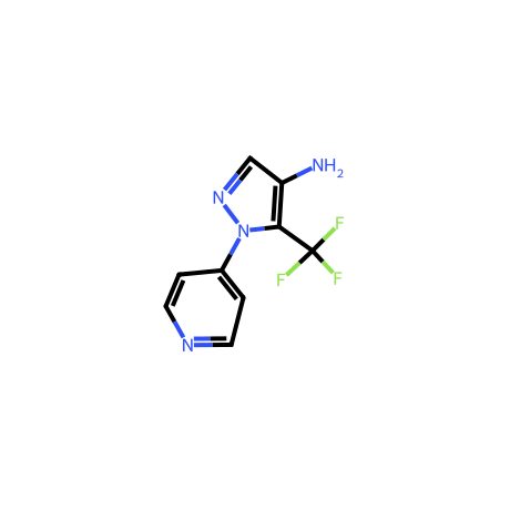 Nc1cnn(-c2ccncc2)c1C(F)(F)F